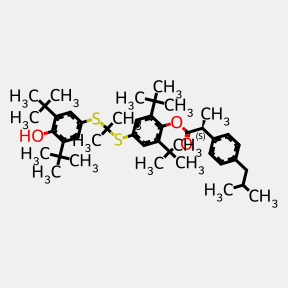 CC(C)Cc1ccc([C@H](C)C(=O)Oc2c(C(C)(C)C)cc(SC(C)(C)Sc3cc(C(C)(C)C)c(O)c(C(C)(C)C)c3)cc2C(C)(C)C)cc1